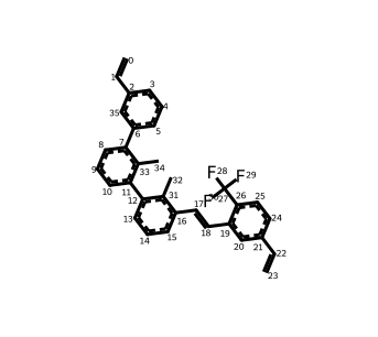 C=Cc1cccc(-c2cccc(-c3cccc(/C=C/c4cc(C=C)ccc4C(F)(F)F)c3C)c2C)c1